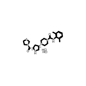 Cc1cccc(C)c1NC(=O)N1CCN([C@@H]2CN[C@H](C(=O)N3CCSC3)C2)CC1.Cl.Cl